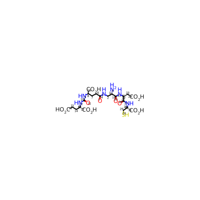 N[C@@H](CNC(=O)CCC(NC(=O)N[C@@H](CCC(=O)O)C(=O)O)C(=O)O)C(=O)N[C@@H](CC(=O)O)C(=O)N[C@@H](CS)C(=O)O